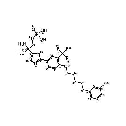 CC(N)(COP(=O)(O)O)c1nnc(-c2ccc(OCCCCCc3cccc(F)c3)c(C(F)(F)F)c2)s1